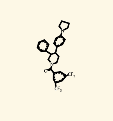 O=C(c1cc(C(F)(F)F)cc(C(F)(F)F)c1)N1CCC(c2ccc(N3CCCC3)cc2)C(c2ccccc2)C1